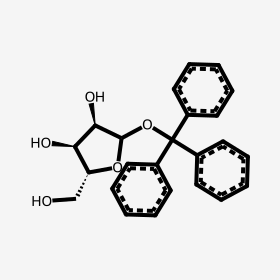 OC[C@H]1OC(OC(c2ccccc2)(c2ccccc2)c2ccccc2)[C@H](O)[C@@H]1O